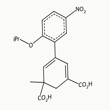 CC(C)Oc1ccc([N+](=O)[O-])cc1C1=CC(C)(C(=O)O)CC(C(=O)O)=C1